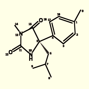 Cc1ccc([C@@]2(CC(C)C)NC(=O)N(C)C2=O)cc1